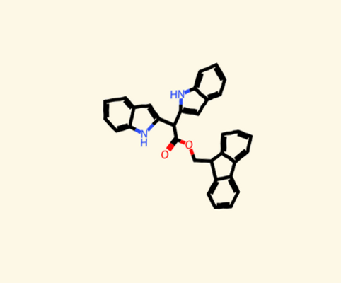 O=C(OCC1c2ccccc2-c2ccccc21)C(c1cc2ccccc2[nH]1)c1cc2ccccc2[nH]1